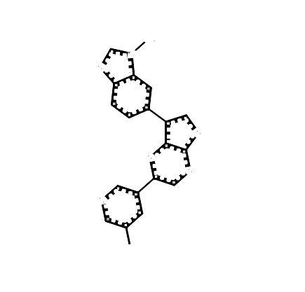 Cc1cncc(-c2cnc3[nH]cc(-c4ccc5ncn(C(C)(C)C)c5c4)c3n2)c1